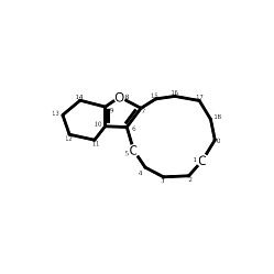 C1CCCCCc2c(oc3c2CCCC3)CCCC1